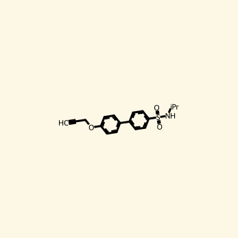 C#CCOc1ccc(-c2ccc(S(=O)(=O)NC(C)C)cc2)cc1